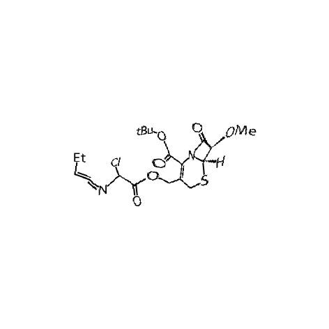 CCC=C=NC(Cl)C(=O)OCC1=C(C(=O)OC(C)(C)C)N2C(=O)[C@@H](OC)[C@@H]2SC1